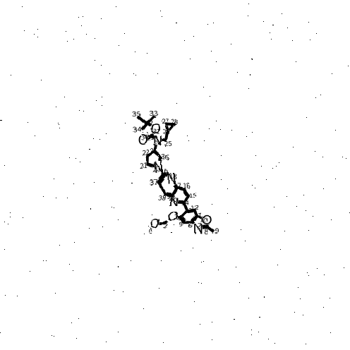 COCOc1cc2nc(C)oc2cc1-c1ccc2nc(N3CCC(N(CC4CC4)C(=O)OC(C)(C)C)C3)ccc2n1